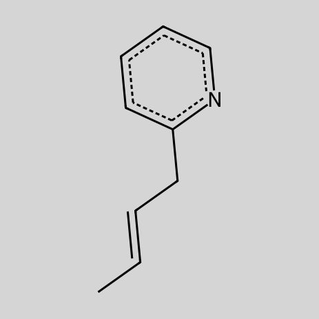 C/C=C/Cc1ccccn1